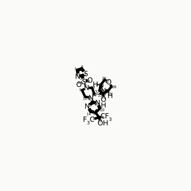 O=S(=O)(c1nccs1)N1CCN(c2ncc(C(O)(C(F)(F)F)C(F)(F)F)cn2)[C@@H](CN2[C@@H]3COC[C@H]2C(O)C3)C1